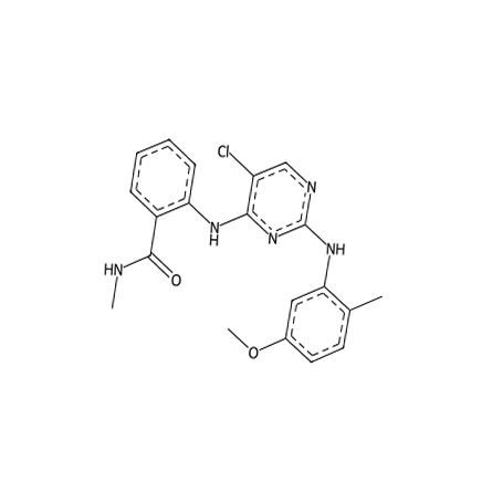 CNC(=O)c1ccccc1Nc1nc(Nc2cc(OC)ccc2C)ncc1Cl